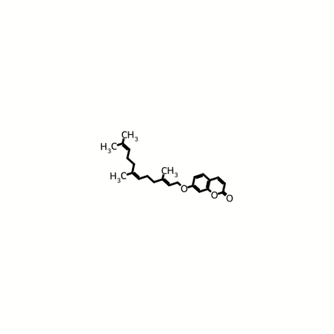 CC(C)=CCC/C(C)=C\CC/C(C)=C/COc1ccc2ccc(=O)oc2c1